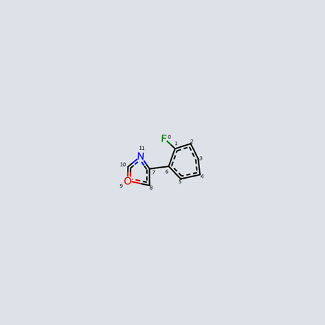 Fc1ccccc1-c1cocn1